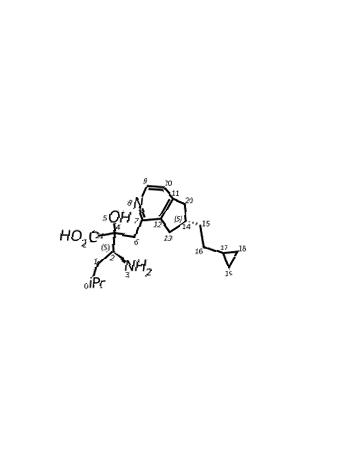 CC(C)C[C@H](N)C(O)(Cc1nccc2c1C[C@@H](CCC1CC1)C2)C(=O)O